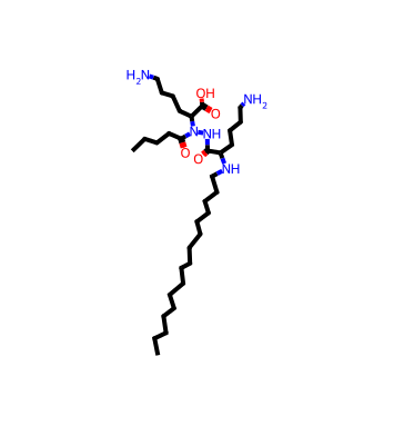 CCCCCCCCCCCCCCCCNC(CCCCN)C(=O)NN(C(=O)CCCC)C(CCCCN)C(=O)O